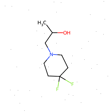 CC(O)CN1CCC(F)(F)CC1